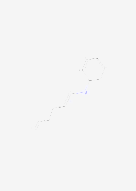 C=CCC/C=C/NC1C=CC=CC1